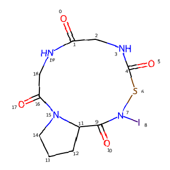 O=C1CNC(=O)SN(I)C(=O)C2CCCN2C(=O)CN1